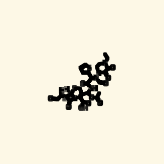 CCN1CCN(N(C=O)C(C(=O)NC(OC(C)=O)C2=C(C(=O)O)N3C(=O)[C@@H](NC=O)[C@H]3SC2)c2cccs2)C(=O)C1=O